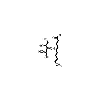 CCCCCCCCCC(=O)O.OCC(O)C(O)C(O)CO